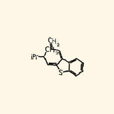 C=C/C=c1\c(=C/C(C)C(C)C)sc2ccccc12